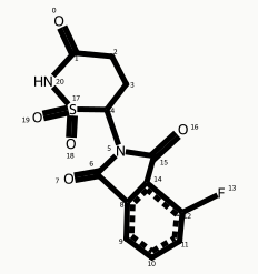 O=C1CCC(N2C(=O)c3cccc(F)c3C2=O)S(=O)(=O)N1